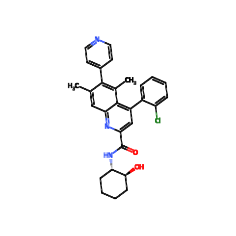 Cc1cc2nc(C(=O)N[C@H]3CCCC[C@@H]3O)cc(-c3ccccc3Cl)c2c(C)c1-c1ccncc1